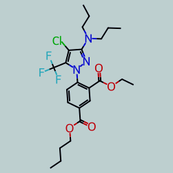 CCCCOC(=O)c1ccc(-n2nc(N(CCC)CCC)c(Cl)c2C(F)(F)F)c(C(=O)OCC)c1